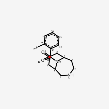 O=C1CC2CCNCC(C1)N2C(=O)c1ccccc1F